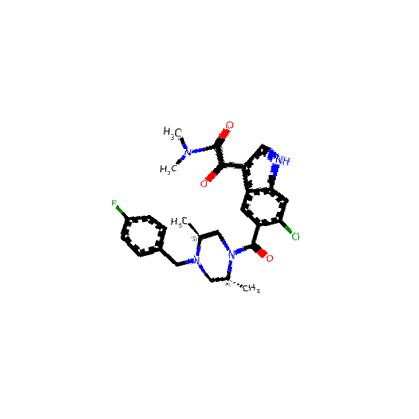 C[C@@H]1CN(Cc2ccc(F)cc2)[C@@H](C)CN1C(=O)c1cc2c(C(=O)C(=O)N(C)C)c[nH]c2cc1Cl